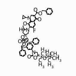 CC(C)(C)[SiH2]OC(C)(C)[C@H]1CN(c2ccc(OC[C@]3(OP(=O)(OCc4ccccc4)OCc4ccccc4)C[C@H]4COc5c(c(F)cc6c(=O)c(C(=O)OCc7ccccc7)cn(C7CC7)c56)N4C3)c(F)c2)C(=O)O1